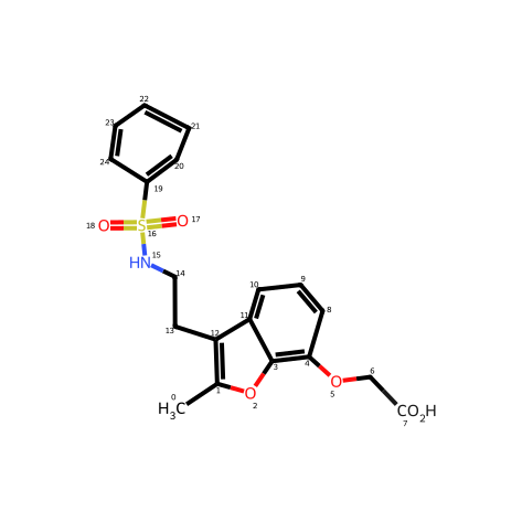 Cc1oc2c(OCC(=O)O)cccc2c1CCNS(=O)(=O)c1ccccc1